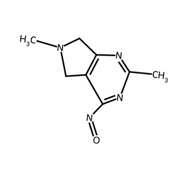 Cc1nc2c(c(N=O)n1)CN(C)C2